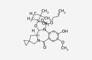 C=CCOC(=O)N1c2cc(O)c(OC)cc2C(=O)N2CC3(CC3)C[C@H]2C1O[Si](C)(C)C(C)(C)C